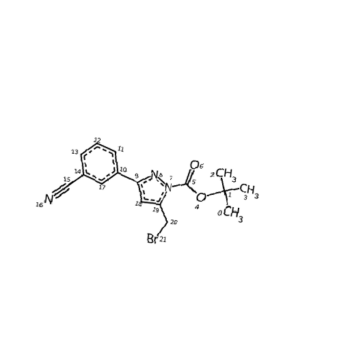 CC(C)(C)OC(=O)n1nc(-c2cccc(C#N)c2)cc1CBr